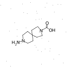 NN1CCC2(CC1)CCN(C(=O)O)CC2